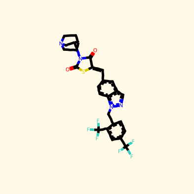 O=C1S/C(=C\c2ccc3c(cnn3Cc3ccc(C(F)(F)F)cc3C(F)(F)F)c2)C(=O)N1C1CN2CCC1CC2